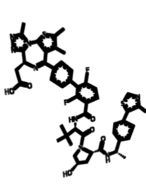 Cc1ncsc1-c1ccc([C@H](C)NC(=O)[C@@H]2C[C@@H](O)CN2C(=O)[C@@H](NC(=O)c2ccc(F)c(-c3ccc(C4=N[C@@H](CC(=O)O)c5nnc(C)n5-c5sc(C)c(C)c54)cc3)c2F)C(C)(C)C)cc1